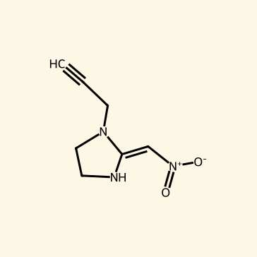 C#CCN1CCN/C1=C\[N+](=O)[O-]